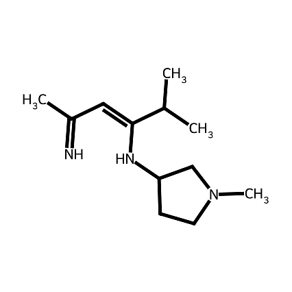 CC(=N)/C=C(\NC1CCN(C)C1)C(C)C